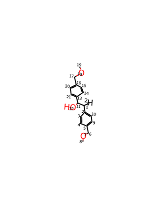 [2H]C(c1ccc(COC)cc1)C(O)c1ccc(COC)cc1